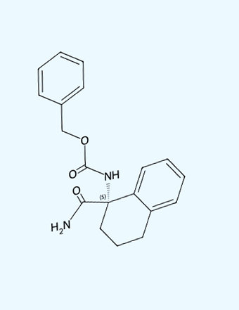 NC(=O)[C@]1(NC(=O)OCc2ccccc2)CCCc2ccccc21